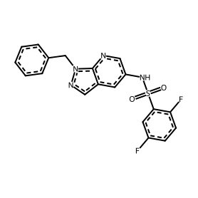 O=S(=O)(Nc1cnc2c(cnn2Cc2ccccc2)c1)c1cc(F)ccc1F